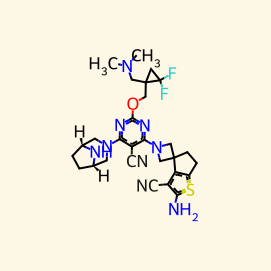 CN(C)CC1(COc2nc(N3C[C@H]4CC[C@@H](C3)N4)c(C#N)c(N3CC4(CCc5sc(N)c(C#N)c54)C3)n2)CC1(F)F